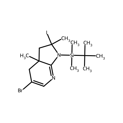 CC12CC(Br)=CN=C1N([Si](C)(C)C(C)(C)C)C(C)(I)C2